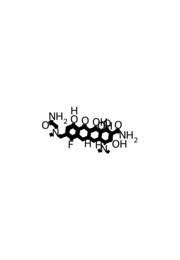 CN(CC(N)=O)Cc1cc(O)c2c(c1F)C[C@H]1C[C@H]3[C@H](N(C)C)C(O)=C(C(N)=O)C(=O)[C@@]3(O)C(O)=C1C2=O